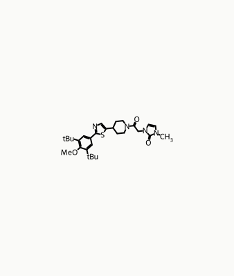 COc1c(C(C)(C)C)cc(-c2ncc(C3CCN(C(=O)Cn4ccn(C)c4=O)CC3)s2)cc1C(C)(C)C